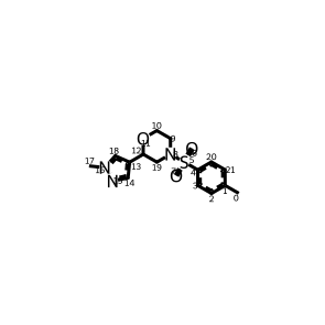 Cc1ccc(S(=O)(=O)N2CCOC(c3cnn(C)c3)C2)cc1